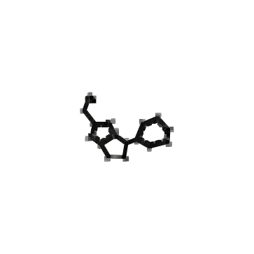 N#CCc1nc2n(n1)C(c1ccccc1)CC2